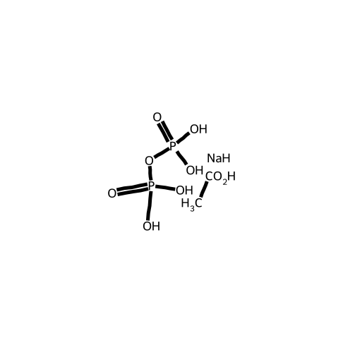 CC(=O)O.O=P(O)(O)OP(=O)(O)O.[NaH]